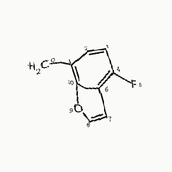 [CH2]c1ccc(F)c2ccoc12